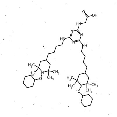 CC1(C)CC(CCCCNc2nc(NCCCCC3CC(C)(C)N(OC4CCCCC4)C(C)(C)C3)nc(NCC(=O)O)n2)CC(C)(C)N1OC1CCCCC1